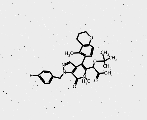 Cc1c(-c2c(C(OC(C)(C)C)C(=O)O)n(C)c(=O)c3c2cnn3Cc2ccc(F)cc2)ccc2c1CCCO2